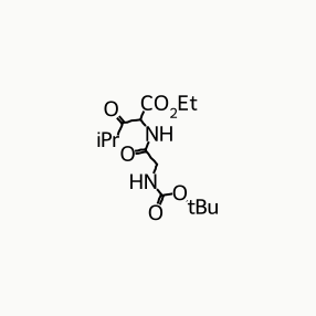 CCOC(=O)C(NC(=O)CNC(=O)OC(C)(C)C)C(=O)C(C)C